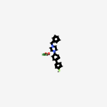 Cl.Cl.Fc1ccc(C2=CCC(N3CCN(Cc4ccccc4)CC3)CC2)cc1.O